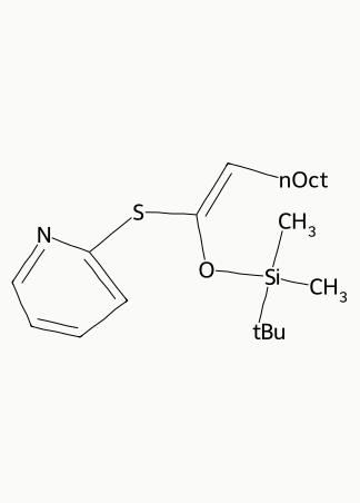 CCCCCCCCC=C(O[Si](C)(C)C(C)(C)C)Sc1ccccn1